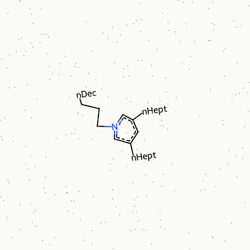 CCCCCCCCCCCCC[n+]1cc(CCCCCCC)cc(CCCCCCC)c1